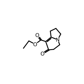 CCOC(=O)C1=C2CCCN2CCC1=O